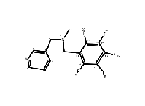 CN(Cc1ccccc1)Cc1c(F)c(F)c(F)c(F)c1F